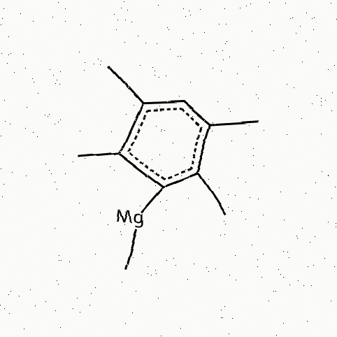 [CH3][Mg][c]1c(C)c(C)cc(C)c1C